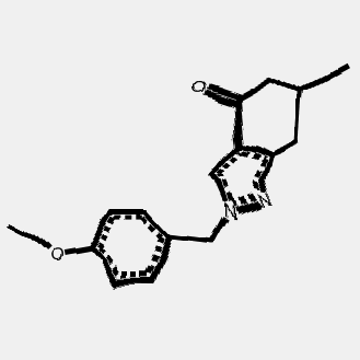 COc1ccc(Cn2cc3c(n2)CC(C)CC3=O)cc1